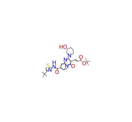 CC(C)(C)OC(=O)C=Cc1c(N2CCC[C@@H](O)C2)nc2cc(C(=O)Nc3nc(C(C)(C)C)cs3)ccn2c1=O